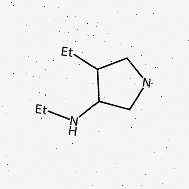 CCNC1C[N]CC1CC